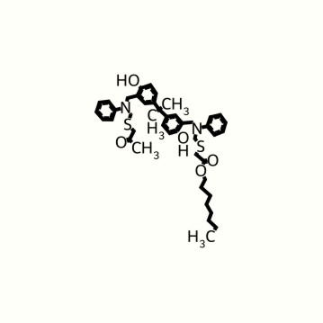 CCCCCCCCOC(=O)CSCN(Cc1cc(C(C)(C)c2ccc(O)c(CN(CSCC(C)=O)c3ccccc3)c2)ccc1O)c1ccccc1